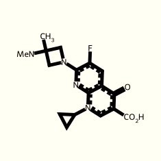 CNC1(C)CN(c2nc3c(cc2F)c(=O)c(C(=O)O)cn3C2CC2)C1